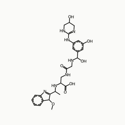 COC1C(C(C)NC(CNC(=O)CNC(O)c2cc(O)cc(NC3=NCC(O)CN3)c2)C(=O)O)=Nc2ccccc21